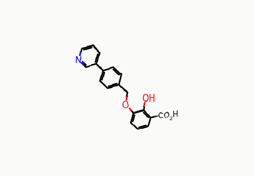 O=C(O)c1cccc(OCc2ccc(-c3cccnc3)cc2)c1O